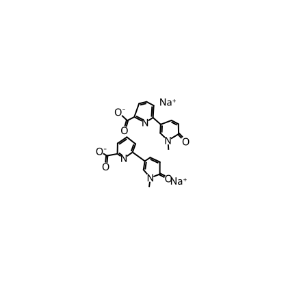 Cn1cc(-c2cccc(C(=O)[O-])n2)ccc1=O.Cn1cc(-c2cccc(C(=O)[O-])n2)ccc1=O.[Na+].[Na+]